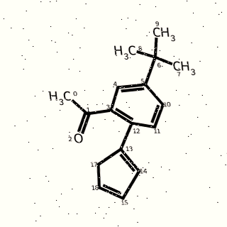 CC(=O)c1cc(C(C)(C)C)ccc1C1=CC=CC1